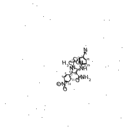 CC(C)(C)n1nc(-c2ccc([N+](=O)[O-])cc2)c(C(N)=O)c1Nc1ccc(C#N)cc1